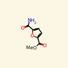 COC(=O)c1ccc(C(N)=O)o1